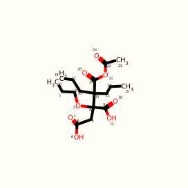 CCCOC(CC(=O)O)(C(=O)O)C(CCC)(CCC)C(=O)OC(C)=O